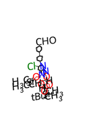 CC(C)(C)[Si](C)(C)OC1CO[C@H]2[C@@H]1OC[C@H]2Oc1nc2nc(-c3ccc(-c4ccc(C=O)cc4)cc3)c(Cl)cc2n1COCC[Si](C)(C)C